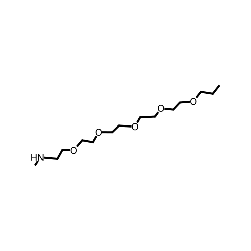 CCCOCCOCCOCCOCCOCCNC